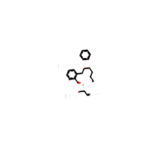 C=CCCC(Sc1ccccc1)C(=O)Cc1cc(C)cc(C)c1C(=O)OC(C)CC=C